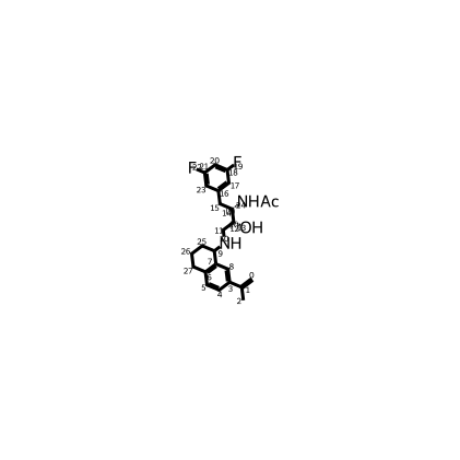 C=C(C)c1ccc2c(c1)C(NC[C@@H](O)[C@H](Cc1cc(F)cc(F)c1)NC(C)=O)CCC2